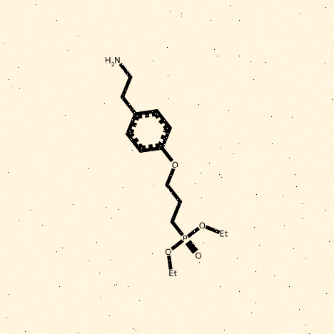 CCOP(=O)(CCCOc1ccc(CCN)cc1)OCC